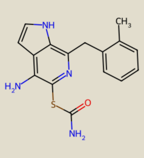 Cc1ccccc1Cc1nc(SC(N)=O)c(N)c2cc[nH]c12